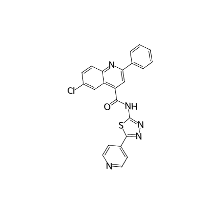 O=C(Nc1nnc(-c2ccncc2)s1)c1cc(-c2ccccc2)nc2ccc(Cl)cc12